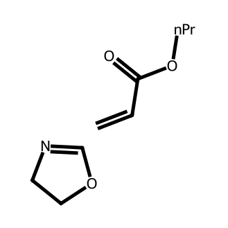 C1=NCCO1.C=CC(=O)OCCC